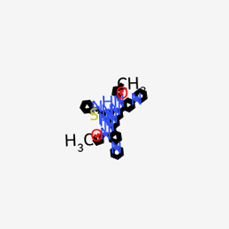 Cc1ccc(Nc2cc(N3CCCCC3)ccc2C2=CC3=CC(c4ccc(N5CCCCC5)cc4Nc4ccc(C)o4)=NC4=NC(c5nc6ccccc6s5)=NC(=N2)N34)o1